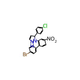 O=[N+]([O-])c1ccc(-c2ccc(Br)cc2)c(N2NC=CC2c2ccc(Cl)cc2)c1